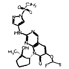 C[C@@]1(O)CCC[C@H]1n1c(=O)c(OC(F)F)cc2cnc(Nc3cnn(S(C)(=O)=O)c3)nc21